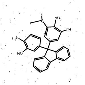 Nc1ccc(C2(c3cc(O)c(N)c(P(F)I)c3)c3ccccc3-c3ccccc32)cc1O